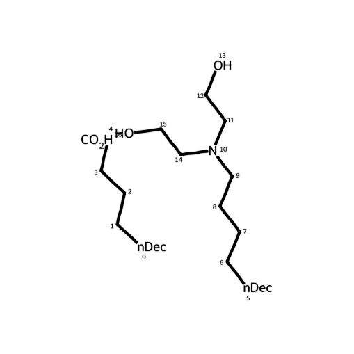 CCCCCCCCCCCCCC(=O)O.CCCCCCCCCCCCCCN(CCO)CCO